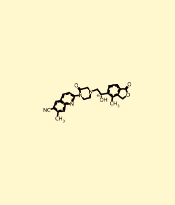 Cc1cc2nc(N3CCN(C[C@H](O)c4ccc5c(c4C)COC5=O)CC3=O)ccc2cc1C#N